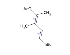 CCCC/C=C/C(C)=C(\C)OC(C)=O